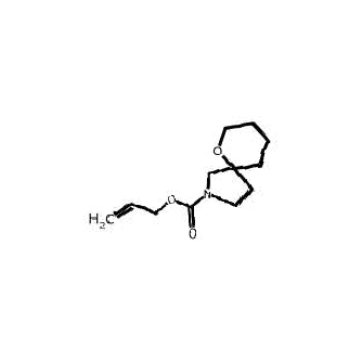 C=CCOC(=O)N1CCC2(CCCCO2)C1